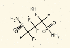 NS(=O)(=O)C(F)(F)C(F)(F)C(F)(F)S(N)(=O)=O.[KH]